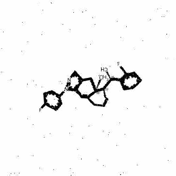 C[C@]12Cc3cnn(-c4ccc(F)cc4)c3C=C1CCC[C@@H]2[C@@H](O)c1ccccc1F